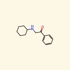 O=C(CNC1CCCCC1)c1ccccc1